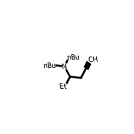 C#CCC(CC)N(CCCC)CCCC